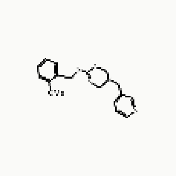 COc1ccccc1CSC1=NCN(Cc2cccnc2)CN1